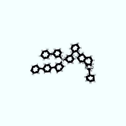 c1ccc(-c2ccc(-c3cccc(N(c4cccc(-c5ccccc5)c4)c4cccc(-c5ccccc5-c5ccc6c(ccc7oc(-c8ccccc8)nc76)c5)c4)c3)cc2)cc1